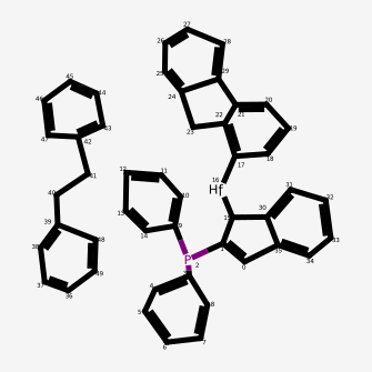 C1=C(P(c2ccccc2)c2ccccc2)[CH]([Hf][c]2cccc3c2Cc2ccccc2-3)c2ccccc21.c1ccc(CCc2ccccc2)cc1